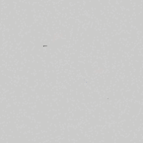 CCOC(=O)[C@@H](O)c1c(C)c2c(c(C)c1[Si](C)(C)C)CN(C1CCCC(C)(C)C1)C(=O)C2